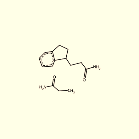 CCC(N)=O.NC(=O)CCC1CCc2ccccc21